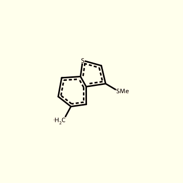 [CH2]c1ccc2scc(SC)c2c1